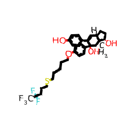 C[C@]12C[C@](O)(c3ccc(OCCCCCSCCCC(F)(F)C(F)(F)F)cc3)C(c3ccc(O)cc3)=C[C@@H]1CC[C@@H]2O